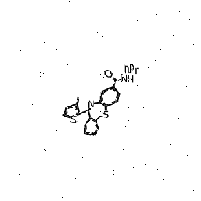 CCCNC(=O)c1ccc2c(c1)N=C(c1sccc1C)c1ccccc1S2